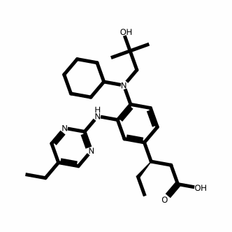 CCc1cnc(Nc2cc([C@H](CC)CC(=O)O)ccc2N(CC(C)(C)O)C2CCCCC2)nc1